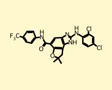 CC1(C)Cc2c(c(C(=O)Nc3ccc(C(F)(F)F)cc3)cc3nc(Nc4ccc(Cl)cc4Cl)[nH]c23)O1